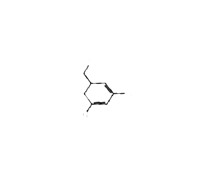 OCC1C=C(O)C=C(O)C1